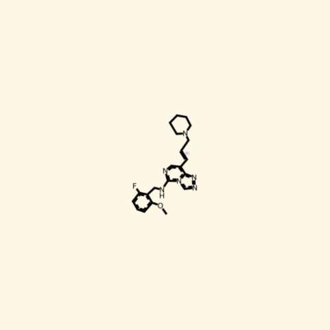 COc1cccc(F)c1CNc1ncc(/C=C/CN2CCCCC2)c2nncn12